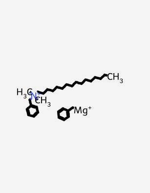 CCCCCCCCCCCCCCCC[N+](C)(C)Cc1ccccc1.[Mg+][CH2]c1ccccc1